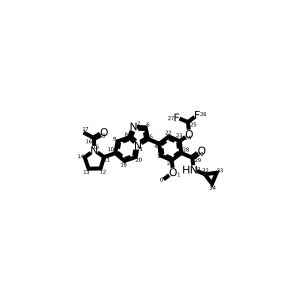 COc1cc(-c2cnc3cc(C4CCCN4C(C)=O)ccn23)cc(OC(F)F)c1C(=O)NC1CC1